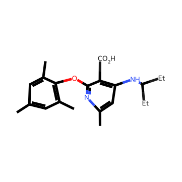 CCC(CC)Nc1cc(C)nc(Oc2c(C)cc(C)cc2C)c1C(=O)O